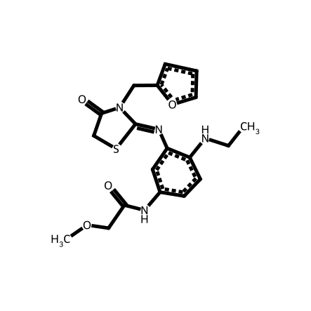 CCNc1ccc(NC(=O)COC)cc1N=C1SCC(=O)N1Cc1ccco1